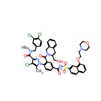 CCCCN(Cc1ccc(Cl)c(Cl)c1)C(=O)c1nn(-c2ccc(C(=O)NS(=O)(=O)c3ccc4cccc(OCCN5CCOCC5)c4c3)cc2C(=O)N2Cc3ccccc3CC2CO)c(C)c1Cl